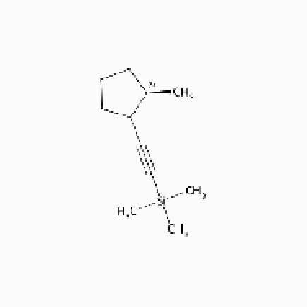 C[C@@H]1CCCC1C#C[Si](C)(C)C